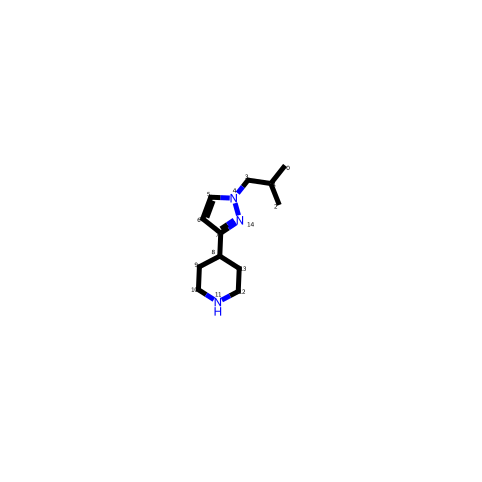 CC(C)Cn1ccc(C2CCNCC2)n1